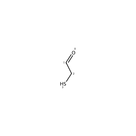 O=[C]CS